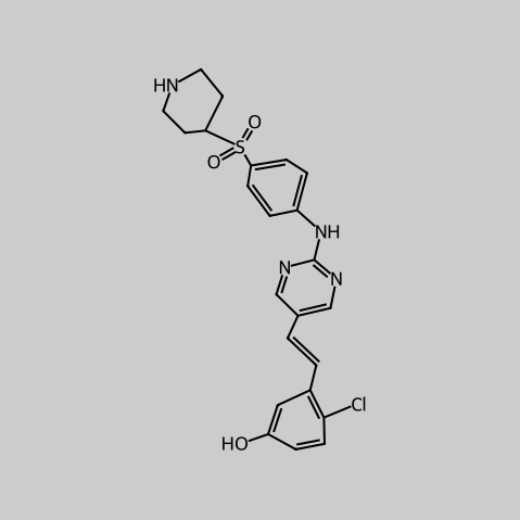 O=S(=O)(c1ccc(Nc2ncc(/C=C/c3cc(O)ccc3Cl)cn2)cc1)C1CCNCC1